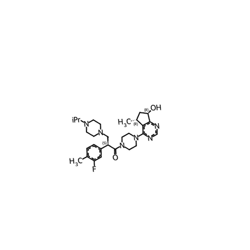 Cc1ccc([C@@H](CN2CCN(C(C)C)CC2)C(=O)N2CCN(c3ncnc4c3[C@H](C)C[C@H]4O)CC2)cc1F